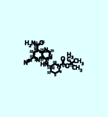 CC(C)(C)OC(=O)N1CCC[C@H](Nc2ncnc3c(C(N)=O)cc(C#N)nc23)C1